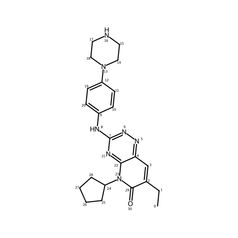 CCc1cc2nnc(Nc3ccc(N4CCNCC4)cc3)nc2n(C2CCCC2)c1=O